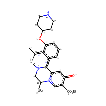 CCOC(=O)c1cn2c(cc1=O)/C(=c1\cccc(OC3CCNCC3)\c1=C(/C)CC)N(C)CC2C(C)(C)C